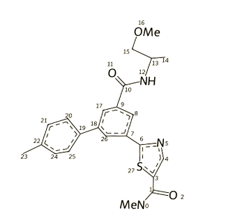 CNC(=O)c1cnc(-c2cc(C(=O)NC(C)COC)cc(-c3ccc(C)cc3)c2)s1